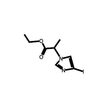 CCOC(=O)C(C)n1cnc(I)c1